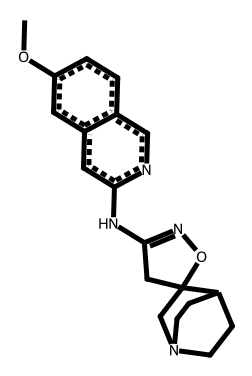 COc1ccc2cnc(NC3=NOC4(C3)CN3CCC4CC3)cc2c1